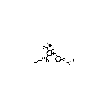 CCCCOC(=O)c1cc(C(=O)NC)c(=O)n(Cc2cccc(OCC(C)O)c2)c1